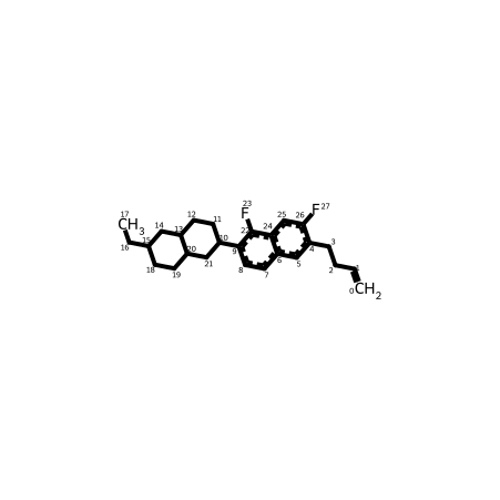 C=CCCc1cc2ccc(C3CCC4CC(CC)CCC4C3)c(F)c2cc1F